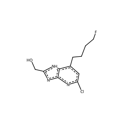 OCc1nc2nc(Cl)cc(CCCCF)c2[nH]1